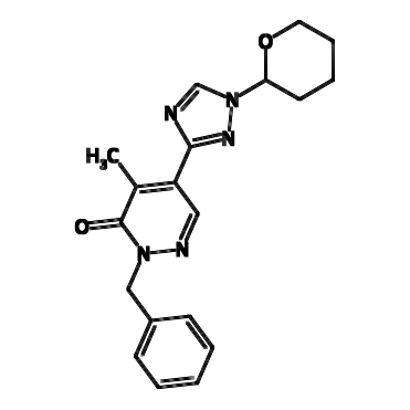 Cc1c(-c2ncn(C3CCCCO3)n2)cnn(Cc2ccccc2)c1=O